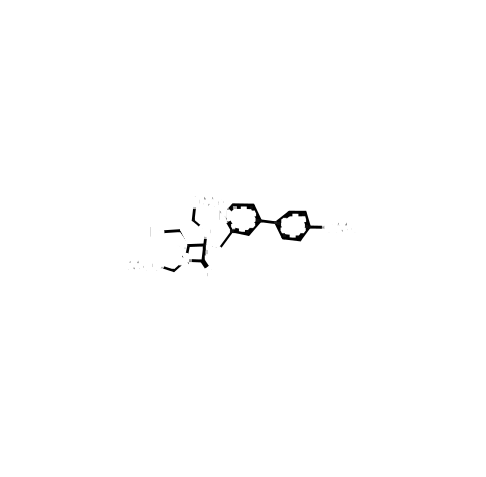 COCO[C@@]1(Cc2cc(-c3ccc(OC)cc3)ccn2)C(=O)N(COC)[C@H]1CC(C)C